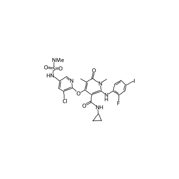 CNS(=O)(=O)Nc1cnc(Oc2c(C(=O)NC3CC3)c(Nc3ccc(I)cc3F)n(C)c(=O)c2C)c(Cl)c1